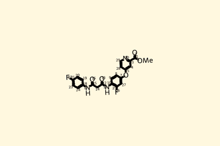 COC(=O)c1cc(Oc2ccc(NC(=O)CC(=O)Nc3ccc(F)cc3)c(F)c2)ccn1